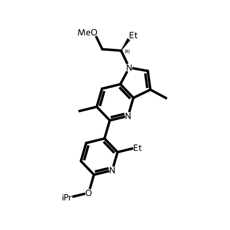 CCc1nc(OC(C)C)ccc1-c1nc2c(C)cn([C@H](CC)COC)c2cc1C